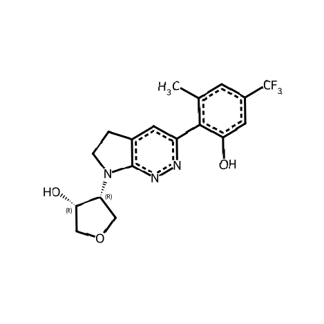 Cc1cc(C(F)(F)F)cc(O)c1-c1cc2c(nn1)N([C@@H]1COC[C@@H]1O)CC2